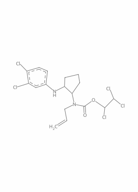 C=CCN(C(=O)OC(Cl)C(Cl)Cl)C1CCCC1Nc1ccc(Cl)c(Cl)c1